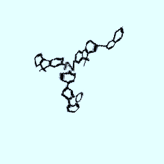 CC1(C)C2=C(C=CCC2)c2ccc(N(c3ccc(-c4ccc5c(c4)oc4ccccc45)cc3)c3ccc4c(c3)C(C)(C)c3cc(-c5ccc6ccccc6c5)ccc3-4)cc21